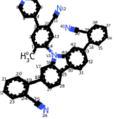 Cc1cc(-c2ccncc2)c(C#N)cc1-n1c2cc(-c3ccccc3C#N)ccc2c2ccc(-c3ccccc3C#N)cc21